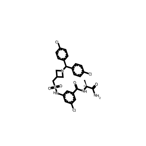 C[C@H](NC(=O)c1cc(Cl)cc(NS(=O)(=O)CC2CN(C(c3ccc(Cl)cc3)c3ccc(Cl)cc3)C2)c1)C(N)=O